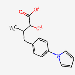 CC(Cc1ccc(-n2cccc2)cc1)C(O)C(=O)O